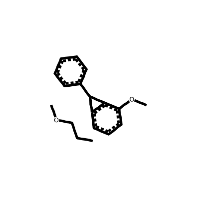 CCCOC.COc1cccc2c1C2c1ccccc1